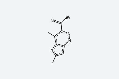 Cc1cc2nnc(C(=O)C(C)C)c(C)n2n1